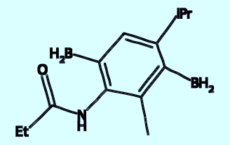 Bc1cc(C(C)C)c(B)c(C)c1NC(=O)CC